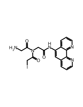 NCC(=O)N(CC(=O)Nc1cc2cccnc2c2ncccc12)C(=O)CI